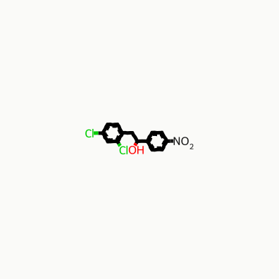 O=[N+]([O-])c1ccc(C(O)Cc2ccc(Cl)cc2Cl)cc1